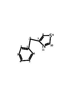 [CH](c1ccccc1)c1cscn1